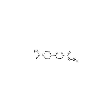 COC(=O)c1ccc(C2=CCN(C(=O)O)CC2)cc1